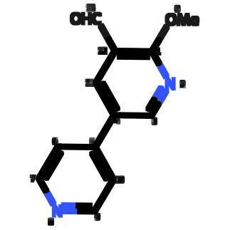 COc1ncc(-c2ccncc2)cc1C=O